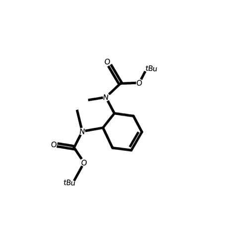 CN(C(=O)OC(C)(C)C)C1CC=CCC1N(C)C(=O)OC(C)(C)C